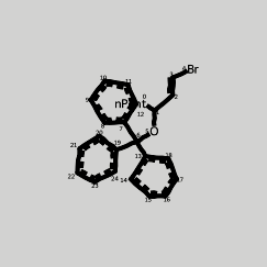 CCCCCC(/C=C/Br)OC(c1ccccc1)(c1ccccc1)c1ccccc1